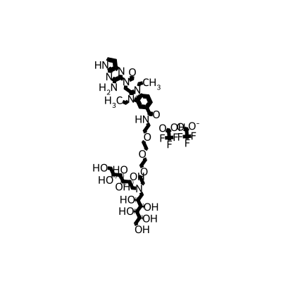 CCn1c(CN(C=O)c2nc3cc[nH]c3nc2N)[n+](CC)c2cc(C(=O)NCCOCCOCCOCCN(C[C@H](O)[C@@H](O)[C@H](O)[C@H](O)CO)C[C@H](O)[C@@H](O)[C@H](O)[C@H](O)CO)ccc21.O=C(O)C(F)(F)F.O=C([O-])C(F)(F)F